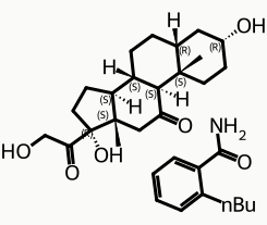 CCCCc1ccccc1C(N)=O.C[C@]12CC[C@@H](O)C[C@H]1CC[C@@H]1[C@@H]2C(=O)C[C@@]2(C)[C@H]1CC[C@]2(O)C(=O)CO